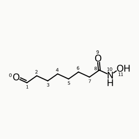 O=CCCCCCCC(=O)NO